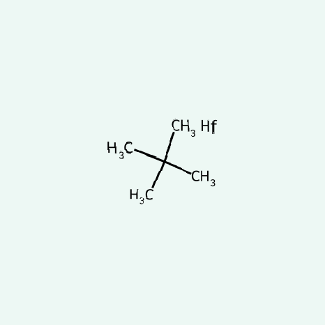 CC(C)(C)C.[Hf]